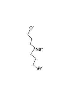 CC(C)CCCCCCC[O-].[Na+]